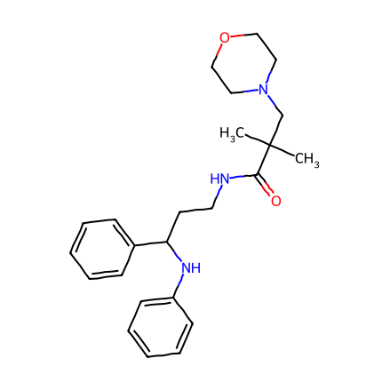 CC(C)(CN1CCOCC1)C(=O)NCCC(Nc1ccccc1)c1ccccc1